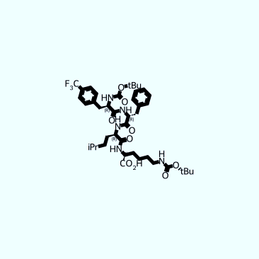 CC(C)CC[C@@H](NC(=O)[C@@H](Cc1ccccc1)NC(=O)[C@@H](Cc1ccc(C(F)(F)F)cc1)NC(=O)OC(C)(C)C)C(=O)N[C@H](CCCCNC(=O)OC(C)(C)C)C(=O)O